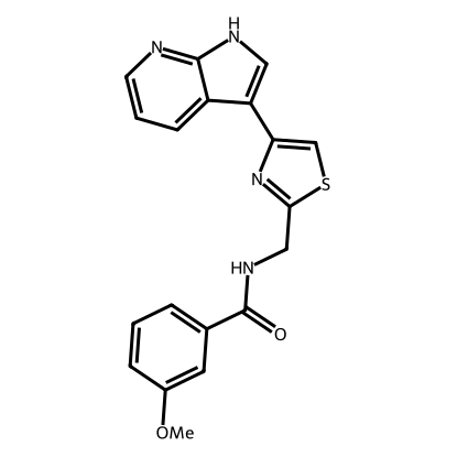 COc1cccc(C(=O)NCc2nc(-c3c[nH]c4ncccc34)cs2)c1